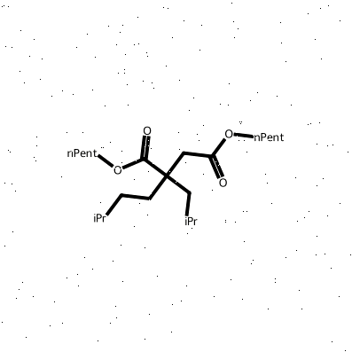 CCCCCOC(=O)CC(CCC(C)C)(CC(C)C)C(=O)OCCCCC